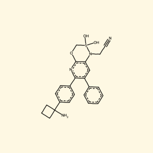 N#CCN1c2cc(-c3ccccc3)c(-c3ccc(C4(N)CCC4)cc3)nc2OCS1(O)O